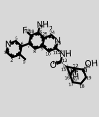 Cc1ccncc1-c1cc2cc(NC(=O)[C@H]3[C@@H]4CCC[C@@H](O)[C@@H]43)ncc2c(N)c1F